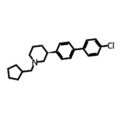 Clc1ccc(-c2ccc([C@@H]3CCCN(CC4CCCC4)C3)cc2)cc1